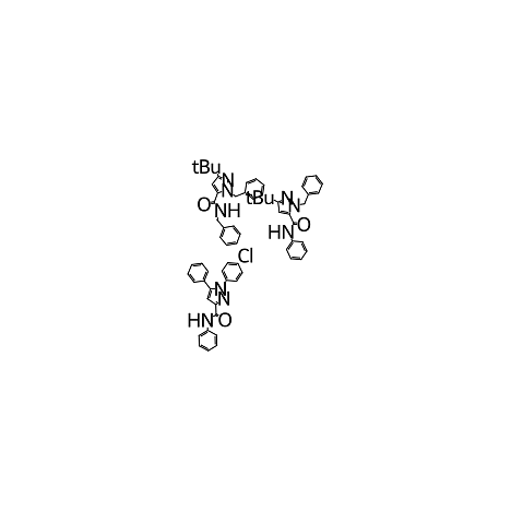 CC(C)(C)c1cc(C(=O)NCc2ccccc2)n(Cc2ccccc2)n1.CC(C)(C)c1cc(C(=O)Nc2ccccc2)n(Cc2ccccc2)n1.O=C(Nc1ccccc1)c1cc(-c2ccccc2)n(-c2ccc(Cl)cc2)n1